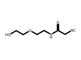 [C-]#[N+]CC(=O)NCCOCCO